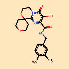 Cc1ccc(CNC(=O)c2nc3n(c(=O)c2O)CCOC32CCOCC2)cc1C